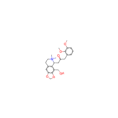 COc1cccc(CC(=O)CC2c3c(cc4c(c3CO)OCO4)CC[N+]2(C)C)c1OC